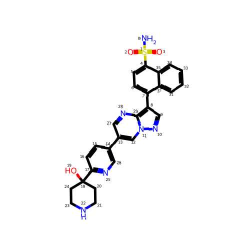 NS(=O)(=O)c1ccc(-c2cnn3cc(-c4ccc(C5(O)CCNCC5)nc4)cnc23)c2ccccc12